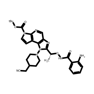 C[C@@H](ONC(=O)c1ccccc1N)c1nc2cnc3c(ccn3C(=O)OC(C)(C)C)c2n1N1CCC(CC#N)CC1